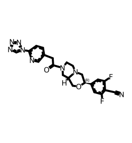 N#Cc1c(F)cc([C@@H]2CN3CCN(C(=O)Cc4ccc(-n5cnnn5)nc4)C[C@H]3CO2)cc1F